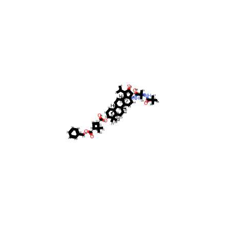 CC(C)C1=C2[C@H]3CC[C@@H]4[C@@]5(C)CC[C@H](OC(=O)[C@H]6C[C@@H](C(=O)OCc7ccccc7)C6(C)C)C(C)(C)[C@@H]5CC[C@@]4(C)[C@]3(C)CC[C@@]2(NC(=O)C(C)(C)NC(=O)C(C)(C)C)CC1=O